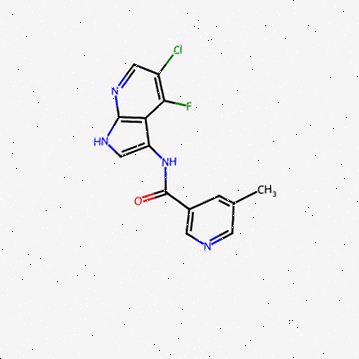 Cc1cncc(C(=O)Nc2c[nH]c3ncc(Cl)c(F)c23)c1